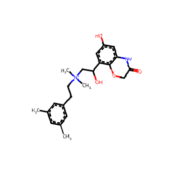 Cc1cc(C)cc(CC[N+](C)(C)CC(O)c2cc(O)cc3c2OCC(=O)N3)c1